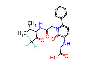 CC(C)C(NC(=O)Cn1c(-c2ccccc2)ccc(NCC(=O)O)c1=O)C(=O)C(F)(F)F